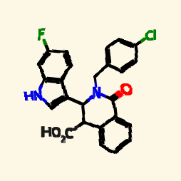 O=C(O)C1c2ccccc2C(=O)N(Cc2ccc(Cl)cc2)C1c1c[nH]c2cc(F)ccc12